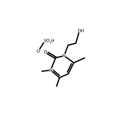 Cc1cc(C)[n+](C)c(=O)n1CCO.O=S(=O)([O-])O